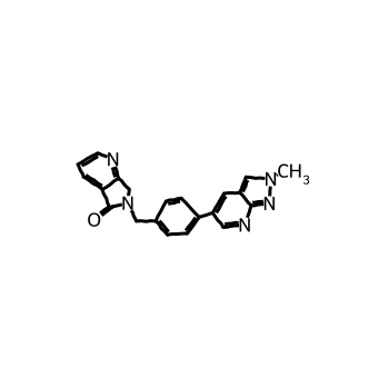 Cn1cc2cc(-c3ccc(CN4Cc5ncccc5C4=O)cc3)cnc2n1